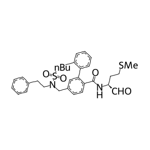 CCCCS(=O)(=O)N(CCc1ccccc1)Cc1ccc(C(=O)N[C@H](C=O)CCSC)c(-c2ccccc2C)c1